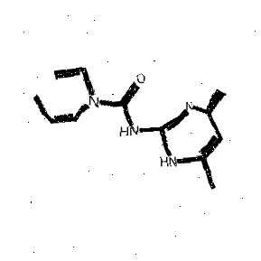 C=CN(/C=C\C)C(=O)NC1=NC(=C)C=C(C)N1